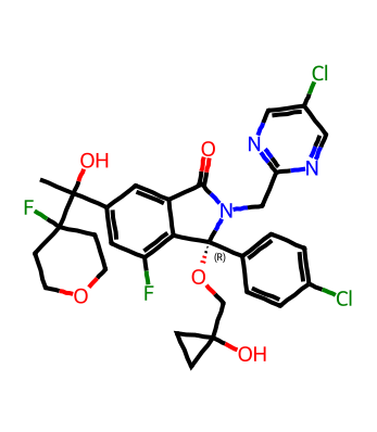 CC(O)(c1cc(F)c2c(c1)C(=O)N(Cc1ncc(Cl)cn1)[C@@]2(OCC1(O)CC1)c1ccc(Cl)cc1)C1(F)CCOCC1